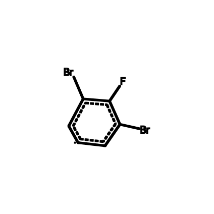 Fc1c(Br)c[c]cc1Br